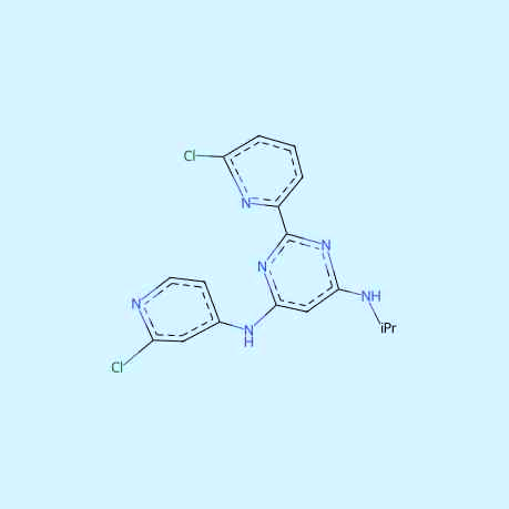 CC(C)Nc1cc(Nc2ccnc(Cl)c2)nc(-c2cccc(Cl)n2)n1